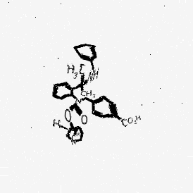 CC(C)(Nc1ccccc1)c1ccccc1N(Cc1ccc(C(=O)O)cc1)C(=O)O[C@H]1CN2CCC1CC2